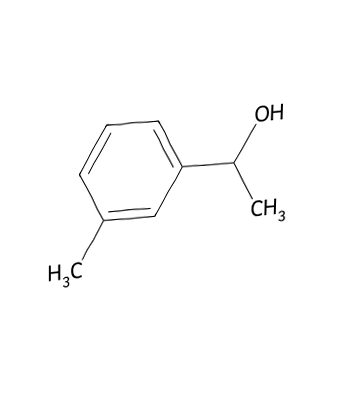 Cc1cccc(C(C)O)c1